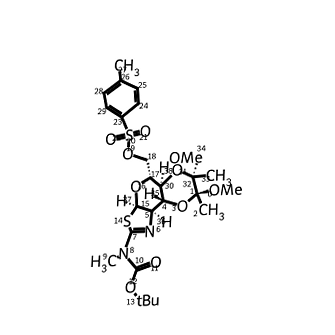 CO[C@@]1(C)O[C@@H]2[C@H]3N=C(N(C)C(=O)OC(C)(C)C)S[C@H]3O[C@H](COS(=O)(=O)c3ccc(C)cc3)[C@H]2O[C@]1(C)OC